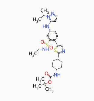 CCNS(=O)(=O)c1cc(Nc2ccnn2C(C)C)ccc1-c1cnc(C2CCC(NC(=O)OC(C)(C)C)CC2)s1